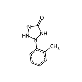 Cc1ccccc1N1N[N]C(=O)N1